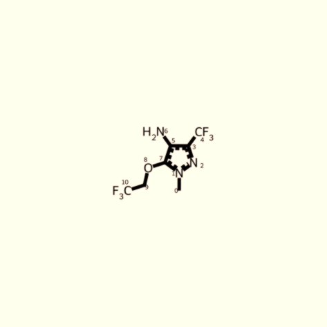 Cn1nc(C(F)(F)F)c(N)c1OCC(F)(F)F